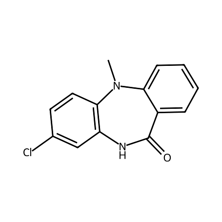 CN1c2ccc(Cl)cc2NC(=O)c2ccccc21